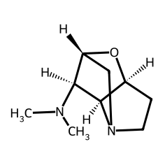 CN(C)[C@@H]1[C@H]2[C@@H]3CCN2C[C@H]1O3